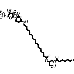 CCCCCCCCCCCCCCCC(=O)OCC(CO)OC(=O)CCCCCCCCCCCCCCCNc1ccn([C@@H]2O[C@H](COP(=O)(O)O)[C@@H](O)[C@@H]2O)c(=O)n1